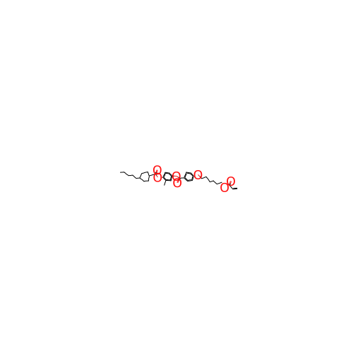 C=CC(=O)OCCCCCCOc1ccc(C(=O)Oc2ccc(OC(=O)C3CCC(CCCCC)CC3)c(C)c2)cc1